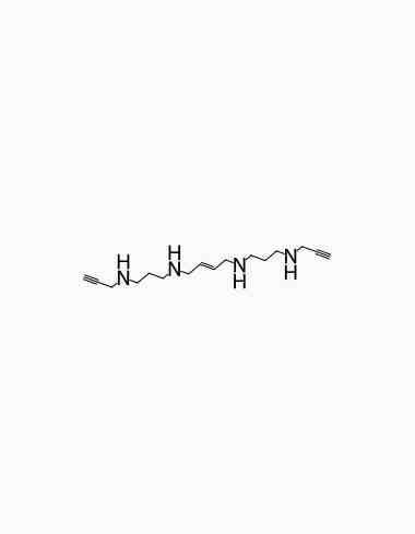 C#CCNCCCNCC=CCNCCCNCC#C